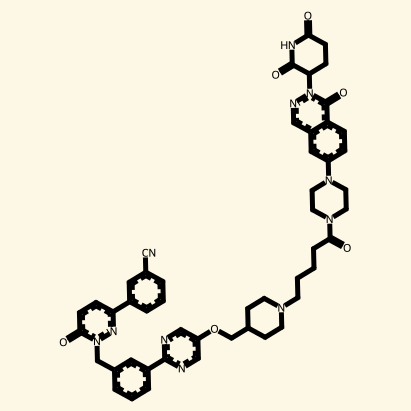 N#Cc1cccc(-c2ccc(=O)n(Cc3cccc(-c4ncc(OCC5CCN(CCCCC(=O)N6CCN(c7ccc8c(=O)n(C9CCC(=O)NC9=O)ncc8c7)CC6)CC5)cn4)c3)n2)c1